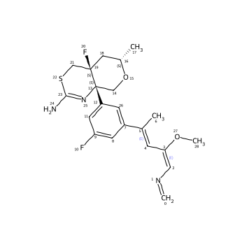 C=N/C=C(\C=C(/C)c1cc(F)cc([C@]23CO[C@@H](C)C[C@@]2(F)CSC(N)=N3)c1)OC